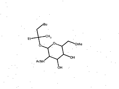 CCC(C)CC(C)(CC)OC1OC(COC)C(O)C(O)C1NC(C)=O